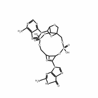 Nc1nc2c(ncn2C2OC3CO[P@@](=O)(S)OC4C5OCC4(COP(=O)(O)OC2C3O)OC5n2cnc3c(N)ncnc32)c(=O)[nH]1